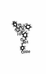 COc1ccc(CNC(=O)Cc2cccc(NC(=O)[C@@H]3CSC(c4ccncc4)N3C(=O)OCc3ccccc3)c2)cc1